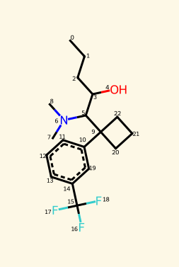 CCCC(O)C(N(C)C)C1(c2cccc(C(F)(F)F)c2)CCC1